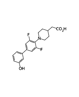 O=C(O)CC1CCN(c2c(F)cc(-c3cccc(O)c3)cc2F)CC1